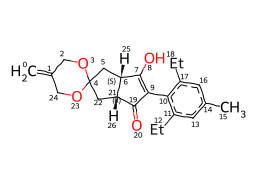 C=C1COC2(C[C@@H]3C(O)=C(c4c(CC)cc(C)cc4CC)C(=O)[C@@H]3C2)OC1